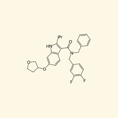 CC(C)c1[nH]c2cc(OC3CCOC3)ccc2c1C(=O)N(Cc1ccccc1)Cc1ccc(F)c(F)c1